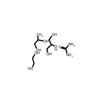 CC(O)CO.NC(N)=O.OCC(O)CO.OCCO